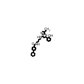 C=Cc1cnn2c(NCCCCNC(=O)c3ccc(C4CCCCC4)cc3)cc(-c3ccccc3O)nc12